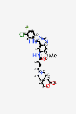 COc1cc2ncnc(Nc3ccc(F)c(Cl)c3)c2cc1NC(=O)/C=C/CN1CCC2(CCOC(=O)C2)CC1